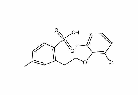 Cc1ccc(S(=O)(=O)O)c(CC2Cc3cccc(Br)c3O2)c1